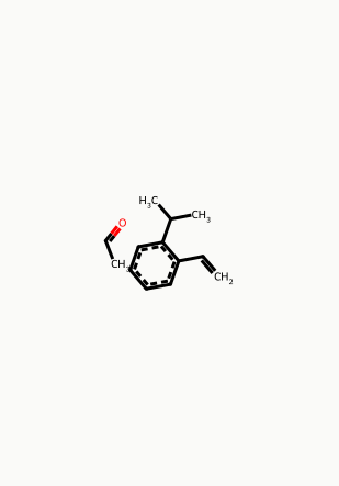 C=Cc1ccccc1C(C)C.CC=O